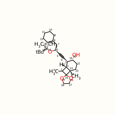 CC1[C@@H]2[C@@H](C#C[C@H](CC3CCCCC3)O[Si](C)(C)C(C)(C)C)[C@H](O)CC[C@]2(C)C12OCCO2